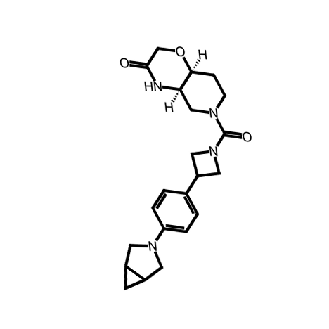 O=C1CO[C@H]2CCN(C(=O)N3CC(c4ccc(N5CC6CC6C5)cc4)C3)C[C@H]2N1